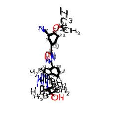 BC(B)(O)C(B)(B)N[C@]1(B)c2cccc(-c3noc(-c4ccc(OC(C)C)c(C#N)c4)n3)c2CC1(B)B